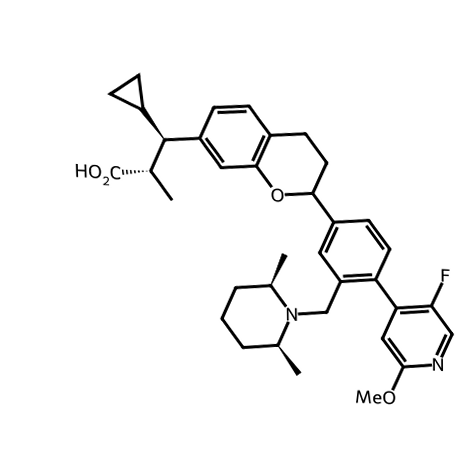 COc1cc(-c2ccc(C3CCc4ccc([C@H](C5CC5)[C@H](C)C(=O)O)cc4O3)cc2CN2[C@H](C)CCC[C@@H]2C)c(F)cn1